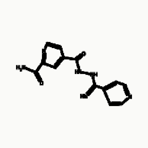 N=C(NNC(=O)c1ccnc(C(N)=O)c1)c1ccncc1